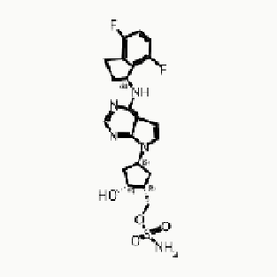 NS(=O)(=O)OC[C@H]1C[C@H](n2ccc3c(N[C@H]4CCc5c(F)ccc(F)c54)ncnc32)C[C@H]1O